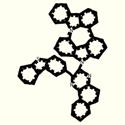 c1ccc2c(c1)ccc1nc(-n3c4cccc5c6cccc7c8ccccc8n(c8cccc3c8c54)c67)c(-c3ccc4sc5ccccc5c4c3)nc12